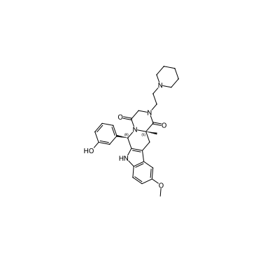 COc1ccc2[nH]c3c(c2c1)C[C@@]1(C)C(=O)N(CCN2CCCCC2)CC(=O)N1[C@@H]3c1cccc(O)c1